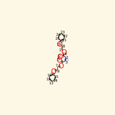 O=C(/C=C\C(=O)OCCOc1ccccc1)OCCOc1ccccc1